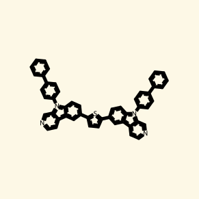 c1ccc(-c2ccc(-n3c4ccc(-c5ccc(-c6ccc7c(c6)c6ccncc6n7-c6ccc(-c7ccccc7)cc6)s5)cc4c4ccncc43)cc2)cc1